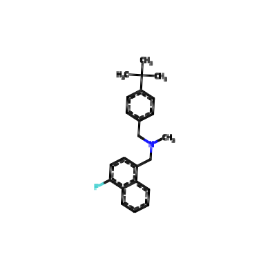 CN(Cc1ccc(C(C)(C)C)cc1)Cc1ccc(F)c2ccccc12